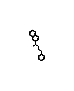 [CH2]C(CCCc1ccccc1)c1ccc2ccccc2c1